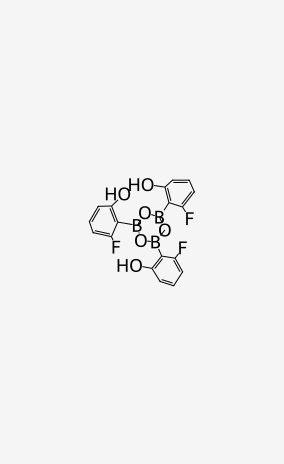 Oc1cccc(F)c1B1OB(c2c(O)cccc2F)OB(c2c(O)cccc2F)O1